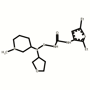 CCc1cc(NC(=O)NSN(C2CCOC2)C2CCCN(C)C2)c(CC)s1